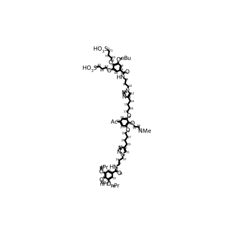 CCCCOc1cc(C(=O)NCCCn2cc(CCCCOc3cc(C(C)=O)cc(OCCCCc4cn(CCCNC(=O)c5cc(OCCC)c(OCCC)c(OCCC)c5)nn4)c3OCCNC)nn2)cc(OCCCS(=O)(=O)O)c1OCCCS(=O)(=O)O